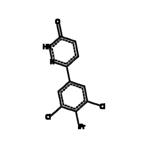 CC(C)c1c(Cl)cc(-c2ccc(=O)[nH]n2)cc1Cl